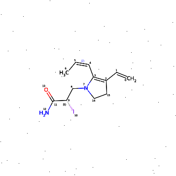 C=CC1=C(/C=C\C)N(C[C@H](I)C(N)=O)CC1